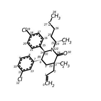 C=CC[C@@]1(C)C[C@H](c2cccc(Cl)c2)[C@@H](c2ccc(Cl)cc2)N([C@@H](C)CCSC)C1=O